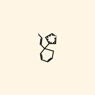 IC=CC1(c2ccsc2)C=CC=CC1